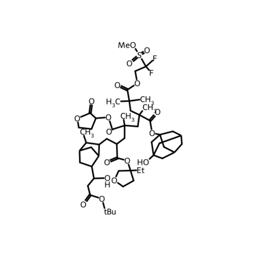 CCC1(OC(=O)C(CC2C(C)C3CC(C(O)CC(=O)OC(C)(C)C)C2C3)CC(C)(CC(C)(CC(C)(C)C(=O)OCC(F)(F)S(=O)(=O)OC)C(=O)OC23CC4CC(CC(O)(C4)C2)C3)C(=O)OC2CCOC2=O)CCOC1